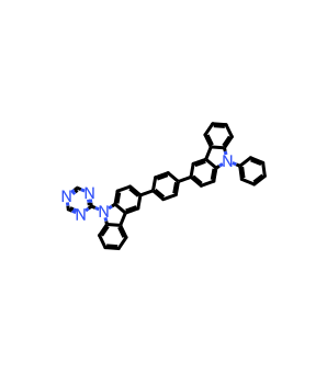 c1ccc(-n2c3ccccc3c3cc(-c4ccc(-c5ccc6c(c5)c5ccccc5n6-c5ncncn5)cc4)ccc32)cc1